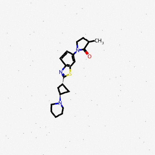 CC1CCN(c2ccc3nc([C@H]4C[C@H](N5CCCCC5)C4)sc3c2)C1=O